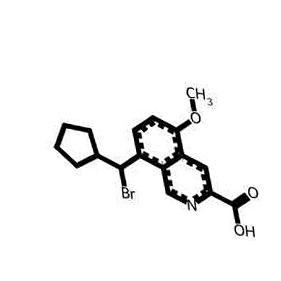 COc1ccc(C(Br)C2CCCC2)c2cnc(C(=O)O)cc12